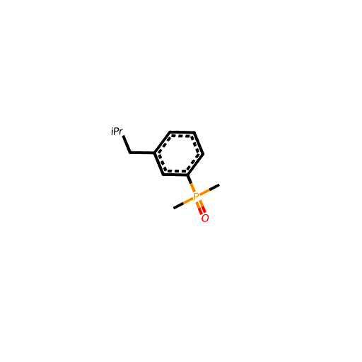 CC(C)Cc1cccc(P(C)(C)=O)c1